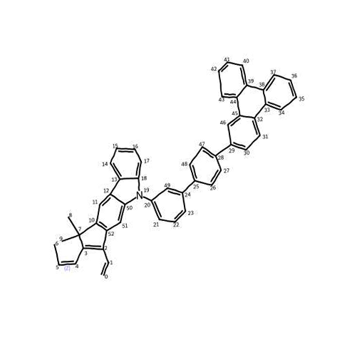 C=CC1=C(/C=C\C)C(C)(C)c2cc3c4ccccc4n(-c4cccc(-c5ccc(-c6ccc7c8ccccc8c8ccccc8c7c6)cc5)c4)c3cc21